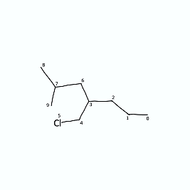 CCCC(CCl)CC(C)C